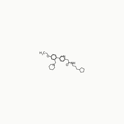 CCOc1ccc(-c2ccc(CC(=O)NCCCC3CCCC3)nc2)c(CN2CCCCC2)c1